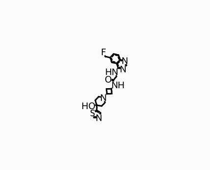 O=C(CNc1ncnc2ccc(CF)cc12)N[C@H]1C[C@@H](N2CCC(O)(c3cncs3)CC2)C1